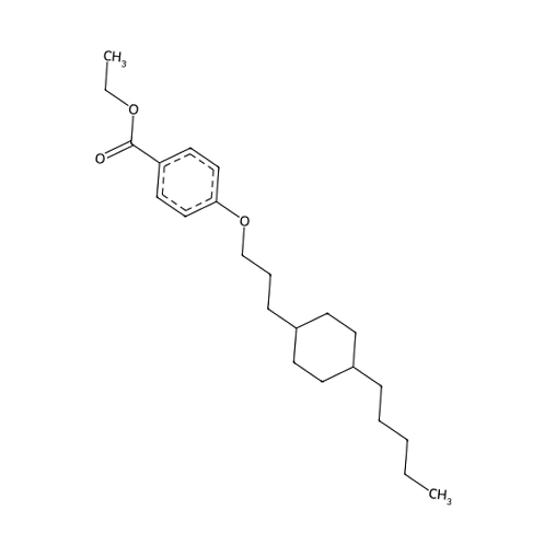 CCCCCC1CCC(CCCOc2ccc(C(=O)OCC)cc2)CC1